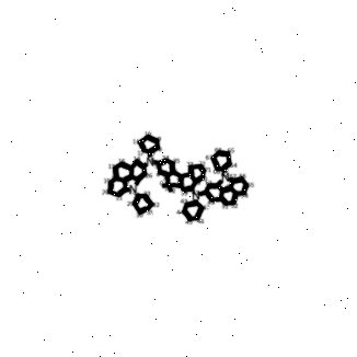 CC1(C)c2cc(N(c3ccccc3)c3cc4ccc5cccc6c5c4c(c3)n6-c3ccccc3)ccc2-c2c1cc(N(c1ccccc1)c1cc3ccc4cccc5c4c3c(c1)n5-c1ccccc1)c1ccccc21